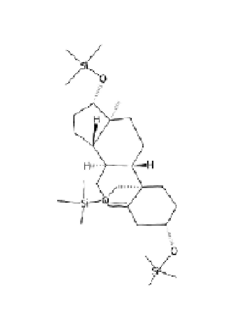 C[C@]12CC[C@H]3[C@@H](CC=C4C[C@@H](O[Si](C)(C)C)CC[C@@]43CO[Si](C)(C)C)[C@@H]1CC[C@@H]2O[Si](C)(C)C